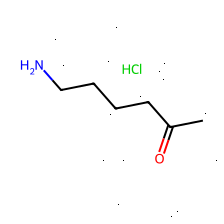 CC(=O)CCCCN.Cl